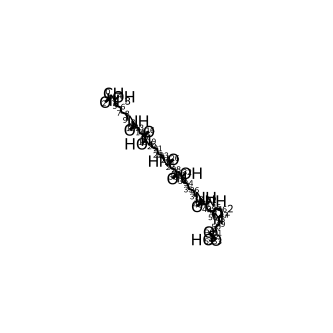 CC(=O)N(O)CCCCCNC(=O)CCC(=O)N(O)CCCCCNC(=O)CCC(=O)N(O)CCCCCNC(=O)C(N)Cc1ccc[n+](CCCS(=O)(=O)O)c1